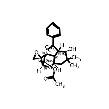 CC(=O)O[C@@H]1C[C@]2(C)[C@@]34CC(c5ccccc5)[C@@H]3[C@H](O)C(C)(C)C[C@H]4O[C@H]1[C@@]21CO1